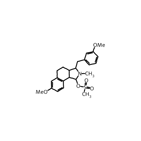 COc1cccc(CC2C3CCc4cc(OC)ccc4C3C(OS(C)(=O)=O)N2C)c1